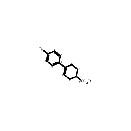 CCOC(=O)C1CC=C(c2ccc(F)cc2)CC1